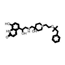 CC(C)(Cc1ccccc1)OCCN1CCC(O)(CNCC(O)c2ccc(O)c3[nH]c(=O)ccc23)CC1